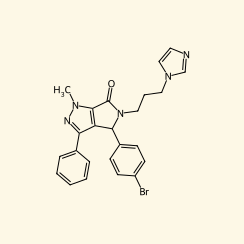 Cn1nc(-c2ccccc2)c2c1C(=O)N(CCCn1ccnc1)C2c1ccc(Br)cc1